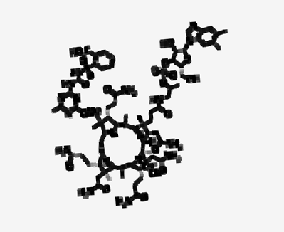 C/C1=C2N=C(/C=C3N=C(/C(C)=C4/[C@@H](CCC(N)=O)[C@](C)(CC(N)=O)[C@](C)([C@@H]5N=C1[C@](C)(CCC(=O)NCC(C)OP(=O)([O-])O[C@H]1[C@@H](O)[C@@H](n6cnc7cc(C)c(C)cc76)O[C@@H]1CO)[C@H]5CC(N)=O)[N]4[Co+][C]#N)[C@@](C)(CC(N)=O)[C@@H]\3CCC(N)=O)C(C)(C)[C@@H]/2CCC(N)=O.COc1nc(C)nc(NC(=O)NS(=O)(=O)c2ccccc2C(=O)O)n1